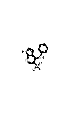 CS(=O)(=O)c1cnc2[nH]ccc2c1Nc1ccccc1